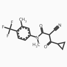 Cc1cc(N(C)C(=O)C(C#N)C(=O)C2CC2)ccc1C(F)(F)F